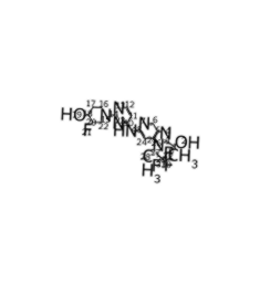 CC(O)c1nc2cnc(Nc3ccnc(N4CCC(O)C(F)C4)n3)cc2n1[C@@H](C)C(F)(F)F